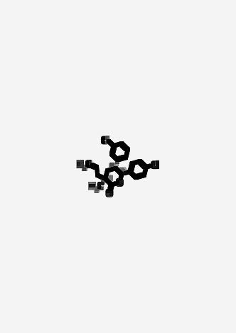 C=CC[C@@]1(C)C[C@H](c2cccc(Cl)c2)[C@@H](c2ccc(Cl)cc2)OC1=O